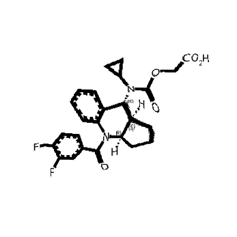 O=C(O)COC(=O)N(C1CC1)[C@H]1c2ccccc2N(C(=O)c2ccc(F)c(F)c2)[C@@H]2CCC[C@@H]21